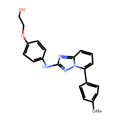 COc1ccc(-c2cccc3nc(Nc4ccc(OCCO)cc4)nn23)cc1